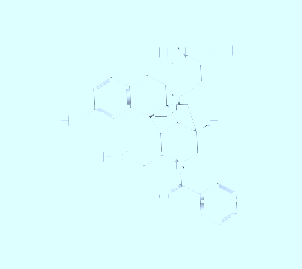 CCC1C2C3[C@@H](CN1C(=O)c1ccccc1)CC31C3Cc4ccc(O)cc4C21CCN3C[C@@H](C)N